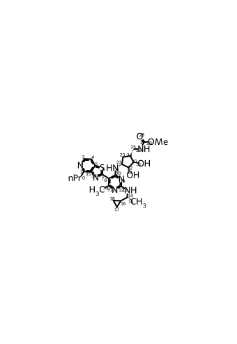 CCCc1nccc2sc(-c3c(C)nc(N[C@H](C)C4CC4)nc3N[C@@H]3C[C@H](CNC(=O)OC)[C@@H](O)[C@H]3O)nc12